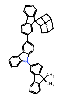 CC1(C)c2ccccc2-c2cc(-n3c4ccccc4c4cc(-c5ccc6c(c5)C5(c7ccccc7-6)C6CC7CC8CC5C86C7)ccc43)ccc21